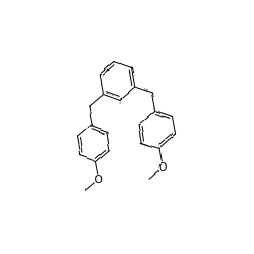 COc1ccc(Cc2[c]c(Cc3ccc(OC)cc3)ccc2)cc1